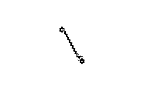 c1ccc2c(c1)OCC(COCCCCCCCCCCCCCCCCN1CCCCC1)O2